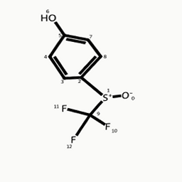 [O-][S+](c1ccc(O)cc1)C(F)(F)F